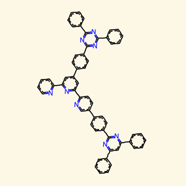 c1ccc(-c2cc(-c3ccccc3)nc(-c3ccc(-c4ccc(-c5cc(-c6ccc(-c7nc(-c8ccccc8)nc(-c8ccccc8)n7)cc6)cc(-c6ccccn6)n5)nc4)cc3)n2)cc1